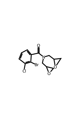 O=C(c1cccc(Cl)c1Br)N(CC1CO1)CC1CO1